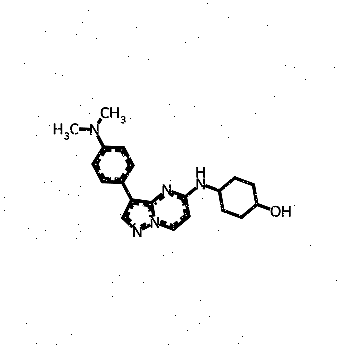 CN(C)c1ccc(-c2cnn3ccc(NC4CCC(O)CC4)nc23)cc1